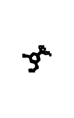 C=C(C)C1=CC(OC(C)(C)C)=CC(Br)C1